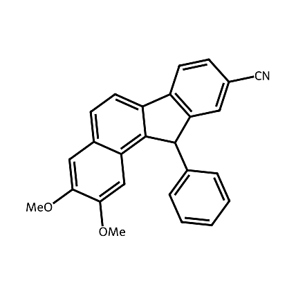 COc1cc2ccc3c(c2cc1OC)C(c1ccccc1)c1cc(C#N)ccc1-3